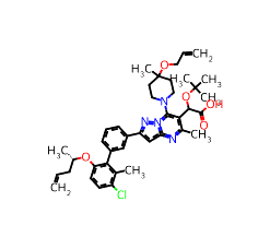 C=CCOC1(C)CCN(c2c(C(OC(C)(C)C)C(=O)O)c(C)nc3cc(-c4cccc(-c5c(O[C@@H](C)CC=C)ccc(Cl)c5C)c4)nn23)CC1